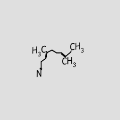 CCC(C)=CCCC(C)=CCC#N